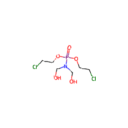 O=P(OCCCl)(OCCCl)N(CO)CO